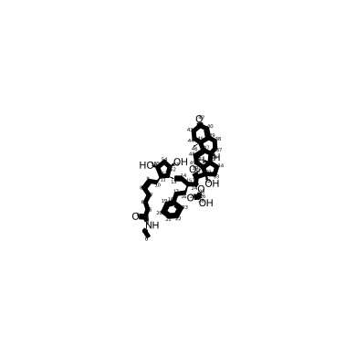 CCNC(=O)CCC/C=C\C[C@@H]1[C@@H](/C=C/[C@H](CCc2ccccc2)C(OC(=O)O)C(=O)[C@@]2(O)CC[C@H]3[C@@H]4CCC5=CC(=O)CC[C@]5(C)C4=CC[C@@]32C)[C@H](O)C[C@@H]1O